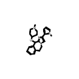 CN1CCC(OC2c3ccccc3CCn3cc(-c4cccn4C)nc32)CC1